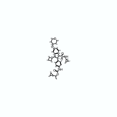 CC(OC(=O)Nc1ccc(C2C(S(=O)(=O)NC3CC3)c3ccc(OC4CCOCC4)cc3N2C2CCC2)cc1)C1CC1